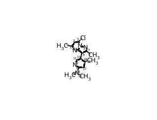 Cc1cc(Cl)n2nc(C)c(-c3cnc(N(C)C)cc3C)c2n1